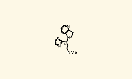 CNCC[C@@H](c1nccs1)N1CCc2ncccc21